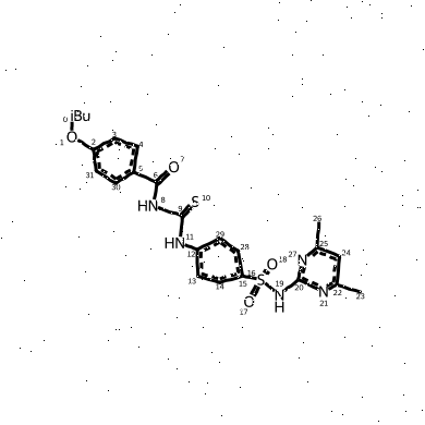 CCC(C)Oc1ccc(C(=O)NC(=S)Nc2ccc(S(=O)(=O)Nc3nc(C)cc(C)n3)cc2)cc1